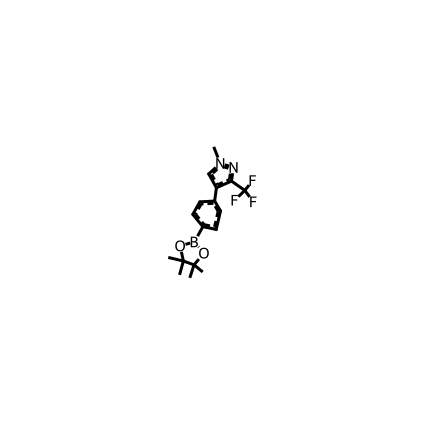 Cn1cc(-c2ccc(B3OC(C)(C)C(C)(C)O3)cc2)c(C(F)(F)F)n1